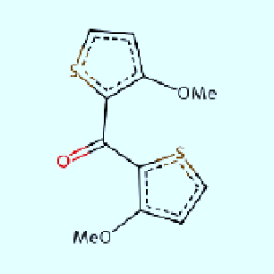 COc1ccsc1C(=O)c1sccc1OC